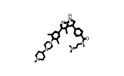 Cc1cc(-c2cnc3[nH]cc(-c4ccc(C(=O)N(C)CCN(C)C)cc4)c3c2C)cc(C)c1N1CCN(C2CCN(C)CC2)CC1